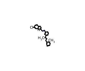 Cc1ccccc1CC[C@H](C)c1cccc(/C=C/c2ccc3ccc(Cl)cc3n2)c1